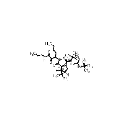 C=CCNC(=O)C(=O)C(CCCC)NC(=O)[C@@H]1[C@@H]2[C@H](CN1C(=O)[C@@H](NC(=O)NC(C)(C)C)C(C)(C)C)C2(C)C